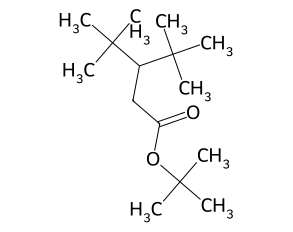 CC(C)(C)OC(=O)CC(C(C)(C)C)C(C)(C)C